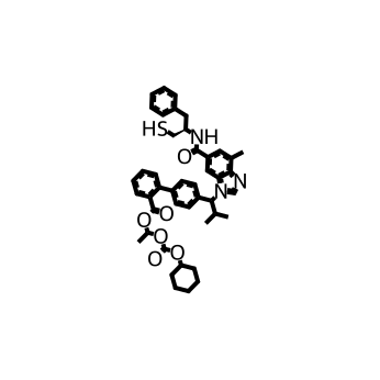 Cc1cc(C(=O)N[C@@H](CS)Cc2ccccc2)cc2c1ncn2C(c1ccc(-c2ccccc2C(=O)OC(C)OC(=O)OC2CCCCC2)cc1)C(C)C